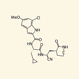 COc1cc(Cl)c2[nH]c(C(=O)N[C@@H](CC3CC3)C(=O)N[C@H](C#N)C[C@@H]3CCCNC3=O)cc2c1